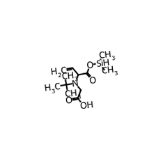 C=CC(C(=O)O[SiH](C)C)N(CC(=O)O)C(C)(C)C